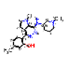 CN1CCC[C@@H](Nc2nnc(-c3ccc(C(F)(F)F)cc3O)c3ccn(C)c23)C1